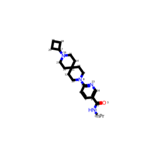 CCCNC(=O)c1ccc(N2CCC3(CC2)CCN(C2CCC2)CC3)nc1